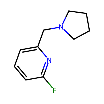 Fc1cccc(CN2CCCC2)n1